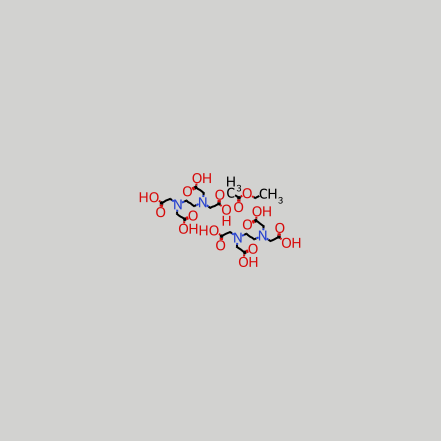 CCOC(C)=O.O=C(O)CN(CCN(CC(=O)O)CC(=O)O)CC(=O)O.O=C(O)CN(CCN(CC(=O)O)CC(=O)O)CC(=O)O